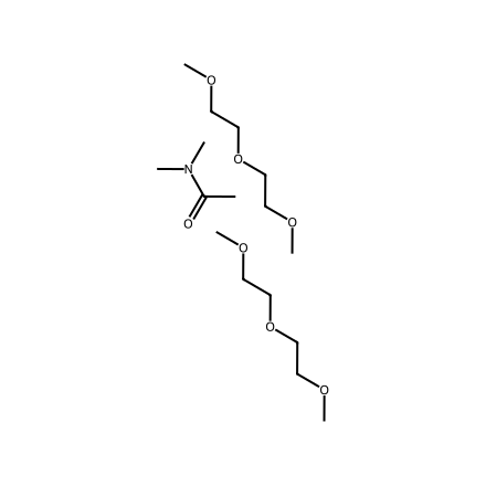 CC(=O)N(C)C.COCCOCCOC.COCCOCCOC